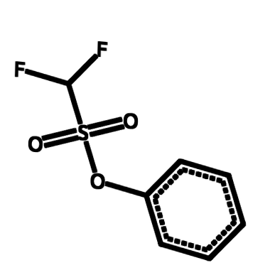 O=S(=O)(Oc1ccccc1)C(F)F